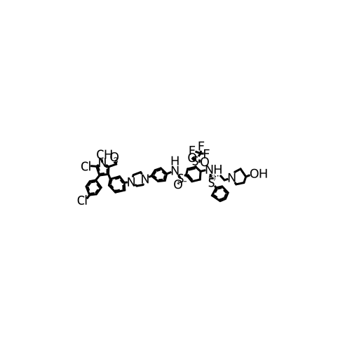 Cn1c(Cl)c(-c2ccc(Cl)cc2)c(-c2cccc(N3CCN(c4ccc(N[S+]([O-])C5=CCC(N[C@H](CCN6CCC(O)CC6)Sc6ccccc6)C(S(=O)(=O)C(F)(F)F)=C5)cc4)CC3)c2)c1C=O